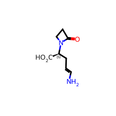 NC=CC[C@@H](C(=O)O)N1CCC1=O